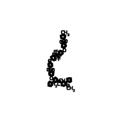 COc1ccc(C(C)(C)c2ccc(Oc3ccc(S(=O)(=O)c4ccc(Oc5ccc(C(c6ccc(Oc7ccc(S(=O)(=O)c8ccc(C)cc8)cc7)cc6)(C(F)(F)F)C(F)(F)F)cc5)cc4)cc3)c(-c3ccccc3)c2)cc1-c1ccccc1